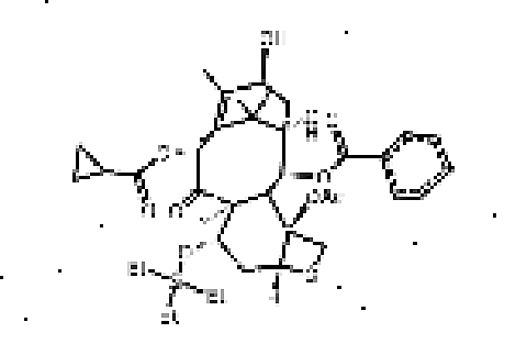 CC[Si](CC)(CC)O[C@H]1C[C@H]2OC[C@@]2(OC(C)=O)C2[C@H](OC(=O)c3ccccc3)[C@]3(O)C[C@H](O)C(C)=C([C@@H](OC(=O)C4CC4)C(=O)[C@@]21C)C3(C)C